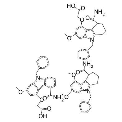 COc1cc(OC)c2c3c(n(Cc4ccccc4)c2c1)CCCC3C(N)=O.COc1cc(OCC(=O)O)c2c3c(C(N)=O)cccc3n(Cc3ccccc3)c2c1.COc1cc(OCC(=O)O)c2c3c(n(Cc4ccccc4)c2c1)CCCC3C(N)=O